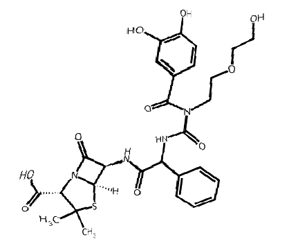 CC1(C)S[C@@H]2[C@H](NC(=O)C(NC(=O)N(CCOCCO)C(=O)c3ccc(O)c(O)c3)c3ccccc3)C(=O)N2[C@H]1C(=O)O